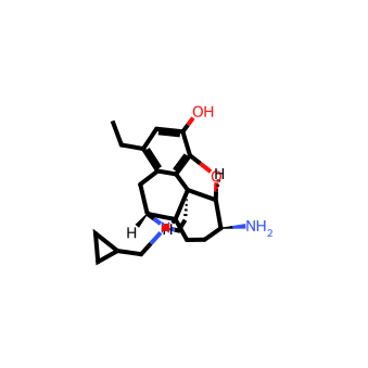 CCc1cc(O)c2c3c1C[C@@H]1[C@@H]4CC[C@H](N)[C@H](O2)[C@]34CCN1CC1CC1